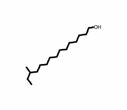 CCC(C)CCCCCCCCCCCCO